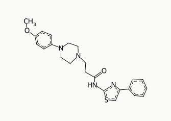 COc1ccc(N2CCN(CCC(=O)Nc3nc(-c4ccccc4)cs3)CC2)cc1